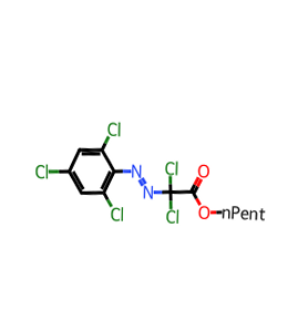 CCCCCOC(=O)C(Cl)(Cl)N=Nc1c(Cl)cc(Cl)cc1Cl